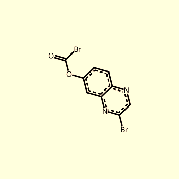 O=C(Br)Oc1ccc2ncc(Br)nc2c1